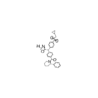 NC(=O)C(c1ccc(C(=O)N2CCCCC2c2ccccc2)cc1)c1ccc(S(=O)(=O)CC2CC2)cc1